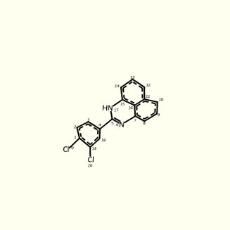 Clc1ccc(C2=Nc3cccc4cccc(c34)N2)cc1Cl